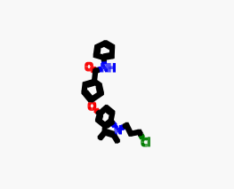 Cc1c(C)n(CCCCl)c2ccc(Oc3ccc(C(=O)Nc4ccccc4)cc3)cc12